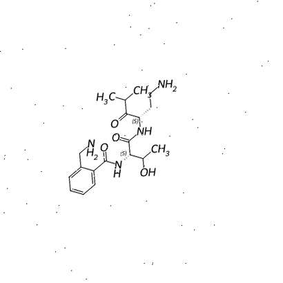 CC(C)C(=O)[C@H](CCN)NC(=O)[C@@H](NC(=O)c1ccccc1CN)C(C)O